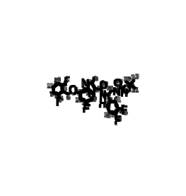 Cc1nc2c(OCc3c(F)cccc3F)cc(F)cn2c1C(=O)NC(CNC(=O)OC(C)(C)C)c1ccc(F)c(F)c1